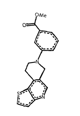 COC(=O)c1cccc(N2CCc3c(cnc4ccsc34)C2)c1